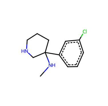 CNC1(c2cccc(Cl)c2)CCCNC1